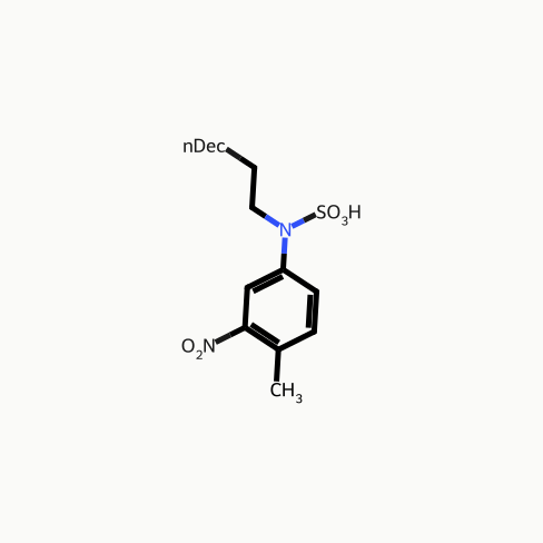 CCCCCCCCCCCCN(c1ccc(C)c([N+](=O)[O-])c1)S(=O)(=O)O